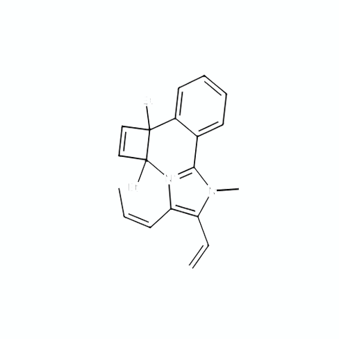 C=Cc1c(/C=C\C)[n+]2c(n1C)-c1ccccc1C1(CC)C=CC21CC